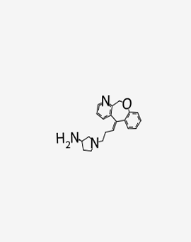 N[C@@H]1CCN(CC/C=C2/c3ccccc3OCc3ncccc32)C1